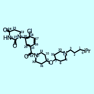 CC(C)CCCN1CCC(OC2CCN(C(=O)c3ccc(Cl)c(N4CCC(=O)NC4=O)c3)CC2)CC1